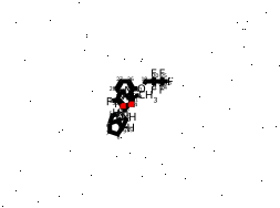 Cc1cc(N2CC3CC[C@@H](C2)[C@@H]3Nc2nc3c(OCC(F)(F)C(F)(F)F)cccn3n2)c(F)cn1